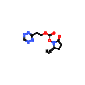 C=C1CCC(=O)N1OC(=O)OCCc1nncnn1